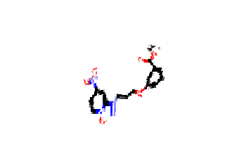 COC(=O)c1cccc(OCCCNc2cc([N+](=O)[O-])cc[n+]2[O-])c1